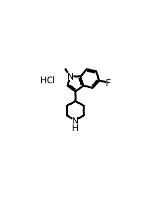 Cl.Cn1cc(C2CCNCC2)c2cc(F)ccc21